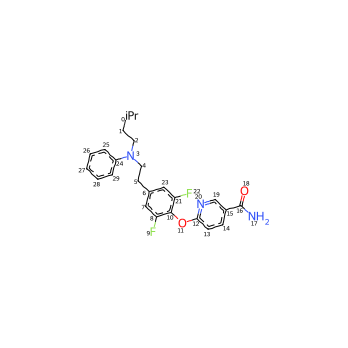 CC(C)CCN(CCc1cc(F)c(Oc2ccc(C(N)=O)cn2)c(F)c1)c1ccccc1